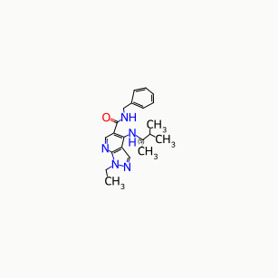 CCn1ncc2c(N[C@@H](C)C(C)C)c(C(=O)NCc3ccccc3)cnc21